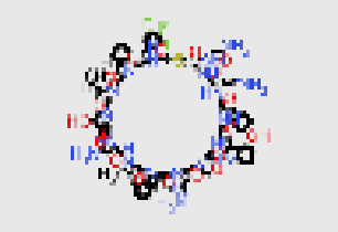 CCCC[C@H]1C(=O)N2C[C@@H](O)C[C@@H]2C(=O)N[C@@H](CC(N)=O)C(=O)N[C@@H](C(C)C)C(=O)N(C)[C@@H](Cc2ccccc2)C(=O)N[C@@H](CCCN)C(=O)N2CCOC[C@@H]2C(=O)N[C@@H](Cc2c[nH]c3ccccc23)C(=O)N[C@@H](Cc2ccc(O)cc2)C(=O)N[C@@H](CCCN)C(=O)N[C@H](C(=O)NCC(N)=O)CSCC(=O)N[C@@H](Cc2cc(F)c(F)c(F)c2)C(=O)N(C)[C@@H](Cc2ccccc2)C(=O)N1C